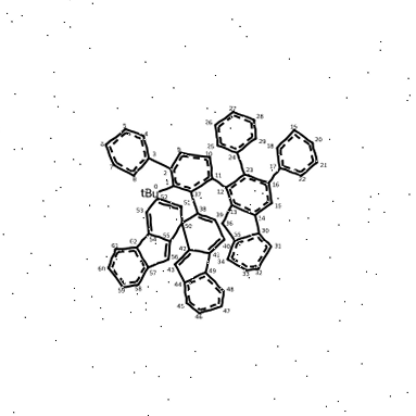 CC(C)(C)c1c(-c2ccccc2)ccc(-c2c3c(cc(-c4ccccc4)c2-c2ccccc2)-c2ccccc2C3)c1C1=CC=C2C(=Cc3ccccc32)C12C=CC=C1C2=Cc2ccccc21